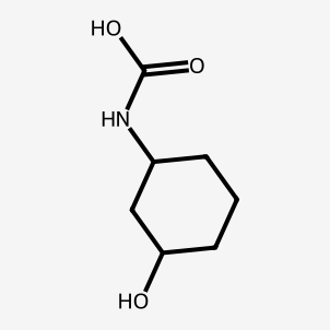 O=C(O)NC1CCCC(O)C1